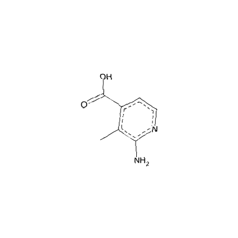 Cc1c(C(=O)O)ccnc1N